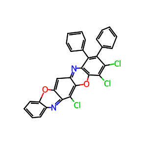 Clc1c(Cl)c(-c2ccccc2)c(-c2ccccc2)c2c1Oc1c(Cl)c3c(cc1=N2)Oc1ccccc1N=3